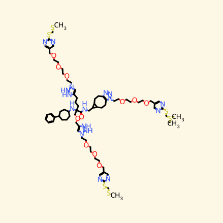 CSCSc1ncc(COCCOCCOCCN2C=C(CCCC(COCC3=CN(CCOCCOCCOCc4cnc(SCSC)nc4)NN3)(NC3CCCC(c4ccccc4)CC3)C(=O)NCC3C4CCc5nnn(CCOCCOCCOCc6cnc(SC[S+](C)C)nc6)c5CCC43)NN2)cn1